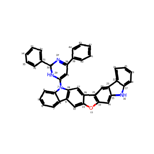 C1=C(n2c3ccccc3c3cc4oc5cc6[nH]c7ccccc7c6cc5c4cc32)NC(c2ccccc2)N=C1c1ccccc1